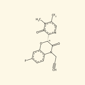 C#CCN1C(=O)[C@@H](c2ncc(C(F)(F)F)n(C)c2=O)Oc2cc(F)ccc21